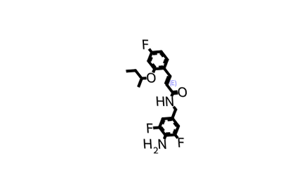 CCC(C)Oc1cc(F)ccc1/C=C/C(=O)NCc1cc(F)c(N)c(F)c1